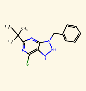 CC(C)(C)c1nc(Br)c2c(n1)N(Cc1ccccc1)NN2